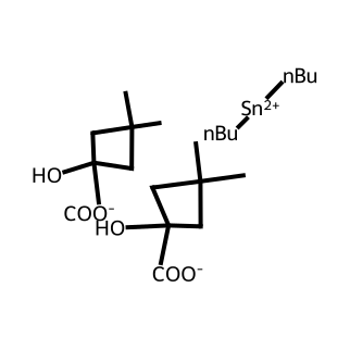 CC1(C)CC(O)(C(=O)[O-])C1.CC1(C)CC(O)(C(=O)[O-])C1.CCC[CH2][Sn+2][CH2]CCC